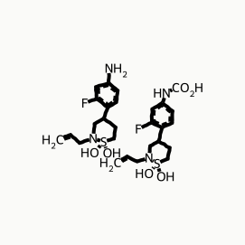 C=CCN1CC(c2ccc(N)cc2F)CCS1(O)O.C=CCN1CC(c2ccc(NC(=O)O)cc2F)CCS1(O)O